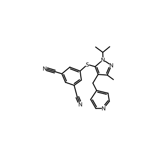 Cc1nn(C(C)C)c(Sc2cc(C#N)cc(C#N)c2)c1Cc1ccncc1